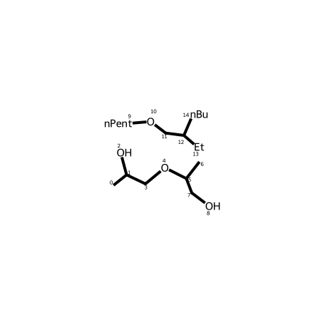 CC(O)COC(C)CO.CCCCCOCC(CC)CCCC